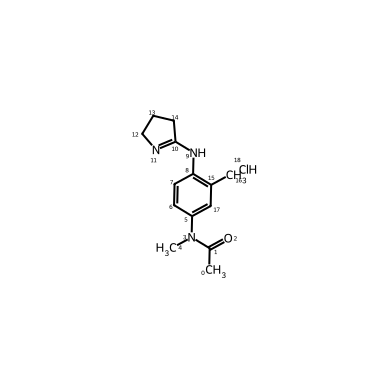 CC(=O)N(C)c1ccc(NC2=NCCC2)c(C)c1.Cl